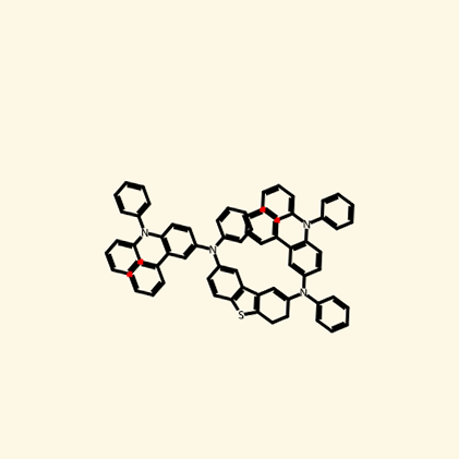 C1=C(N(c2ccccc2)c2ccc(N(c3ccccc3)c3ccccc3)c(-c3ccccc3)c2)CCc2sc3ccc(N(c4ccccc4)c4ccc(N(c5ccccc5)c5ccccc5)c(-c5ccccc5)c4)cc3c21